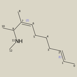 C/C=C/CCC/C=C(/C)C(C)NC